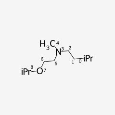 CC(C)CCN(C)CCOC(C)C